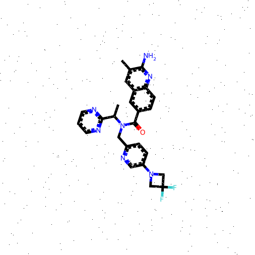 Cc1cc2cc(C(=O)N(Cc3ccc(N4CC(F)(F)C4)cn3)C(C)c3ncccn3)ccc2nc1N